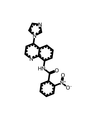 O=C(Nc1cccc2c(-n3ccnc3)ccnc12)c1ccccc1[N+](=O)[O-]